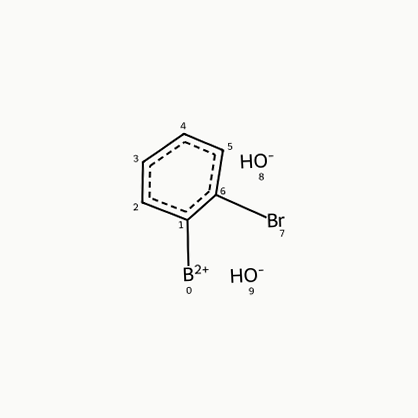 [B+2]c1ccccc1Br.[OH-].[OH-]